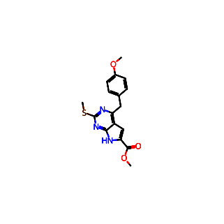 COC(=O)c1cc2c(Cc3ccc(OC)cc3)nc(SC)nc2[nH]1